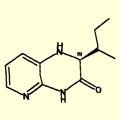 CCC(C)[C@@H]1Nc2cccnc2NC1=O